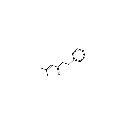 CC(C)=CC(=O)CCc1ccccc1